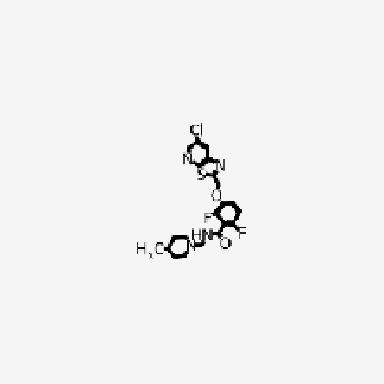 CC1CCN(CNC(=O)c2c(F)ccc(OCc3nc4cc(Cl)cnc4s3)c2F)CC1